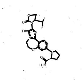 NC(=O)[C@@H]1CCCN1c1ccc2c(c1)OCCn1c-2nc(N2C(=O)OCC2C(F)F)c1F